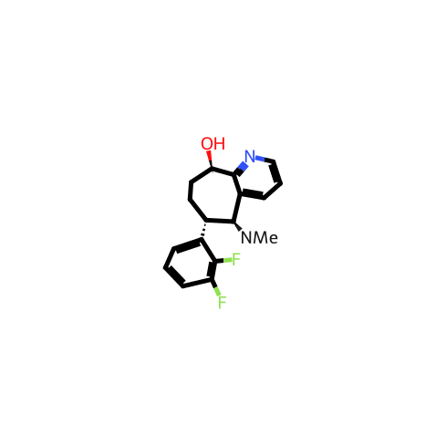 CN[C@@H]1c2cccnc2[C@H](O)CC[C@H]1c1cccc(F)c1F